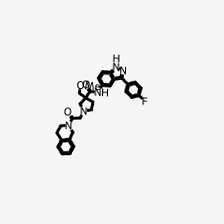 COCC1(C(=O)Nc2ccc3[nH]nc(-c4ccc(F)cc4)c3c2)CCN(CC(=O)N2CCc3ccccc3C2)C1